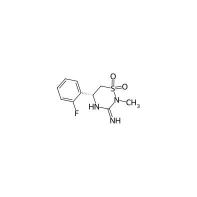 CN1C(=N)N[C@H](c2ccccc2F)CS1(=O)=O